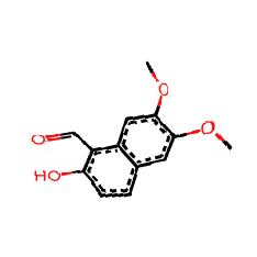 COc1cc2ccc(O)c(C=O)c2cc1OC